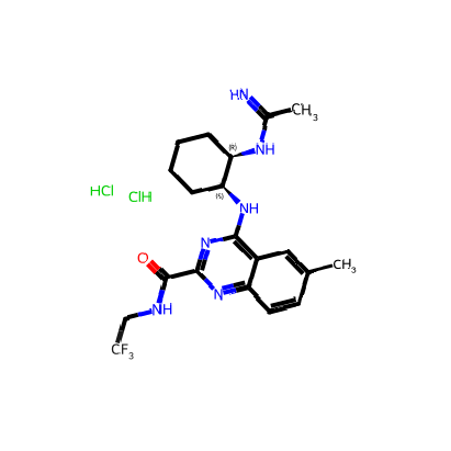 CC(=N)N[C@@H]1CCCC[C@@H]1Nc1nc(C(=O)NCC(F)(F)F)nc2ccc(C)cc12.Cl.Cl